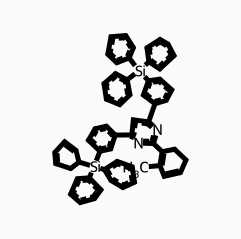 CC1=C(c2nc(-c3cccc([Si](c4ccccc4)(c4ccccc4)c4ccccc4)c3)cc(-c3cccc([Si](c4ccccc4)(c4ccccc4)C4C=CC=CC4)c3)n2)CCC=C1